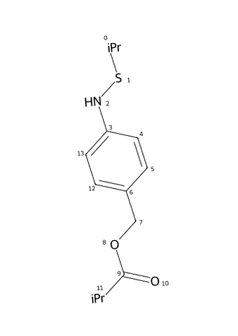 CC(C)SNc1ccc(COC(=O)C(C)C)cc1